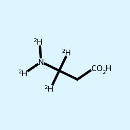 [2H]N([2H])C([2H])([2H])CC(=O)O